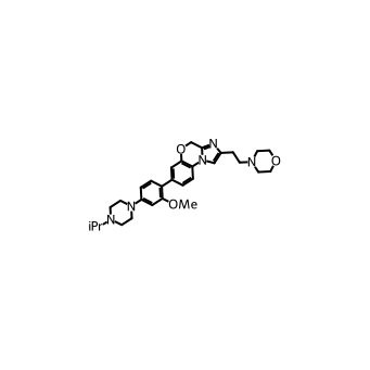 COc1cc(N2CCN(C(C)C)CC2)ccc1-c1ccc2c(c1)OCc1nc(CCN3CCOCC3)cn1-2